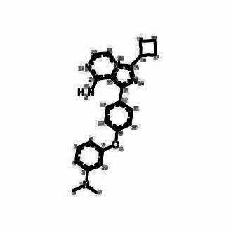 CN(C)c1cccc(Oc2ccc(-c3nc(C4CCC4)n4ccnc(N)c34)cc2)c1